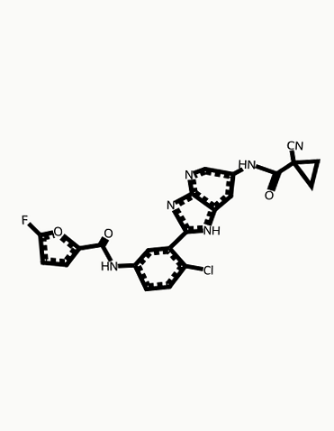 N#CC1(C(=O)Nc2cnc3nc(-c4cc(NC(=O)c5ccc(F)o5)ccc4Cl)[nH]c3c2)CC1